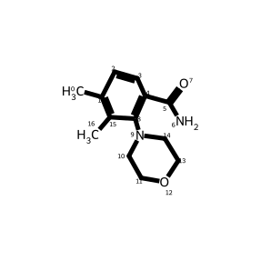 Cc1ccc(C(N)=O)c(N2CCOCC2)c1C